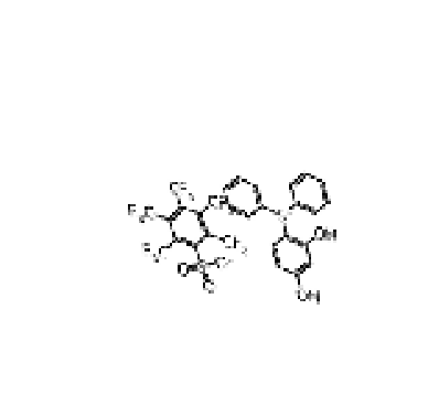 O=S(=O)([O-])c1c(C(F)(F)F)c(C(F)(F)F)c(C(F)(F)F)c(C(F)(F)F)c1C(F)(F)F.Oc1ccc([S+](c2ccccc2)c2ccccc2)c(O)c1